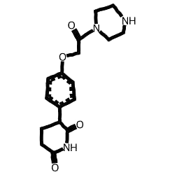 O=C1CCC(c2ccc(OCC(=O)N3CCNCC3)cc2)C(=O)N1